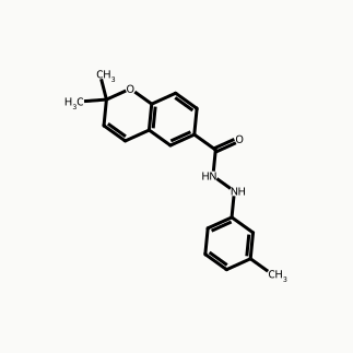 Cc1cccc(NNC(=O)c2ccc3c(c2)C=CC(C)(C)O3)c1